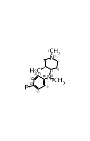 C[C@H]1CN(C)CC[C@H]1N(C)c1ccc(F)cc1